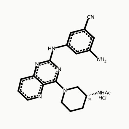 CC(=O)N[C@@H]1CCCN(c2nc(Nc3cc(N)cc(C#N)c3)nc3cccnc23)C1.Cl